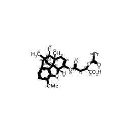 COc1ccc2c3c1O[C@H]1C(OC(=O)C[C@H](OC(=O)C(C)C)C(=O)O)=CC[C@@]4(O)[C@@H](C2)N(C)CC[C@]314